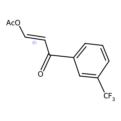 CC(=O)O/C=C/C(=O)c1cccc(C(F)(F)F)c1